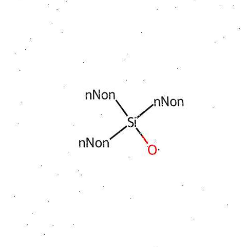 CCCCCCCCC[Si]([O])(CCCCCCCCC)CCCCCCCCC